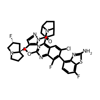 Nc1nc2c(-c3c(Cl)cc4c(N5CC6CCC(C5)N6C(=O)n5cc(F)cn5)nc(OC[C@@]56CCCN5C[C@H](F)C6)nc4c3F)ccc(F)c2s1